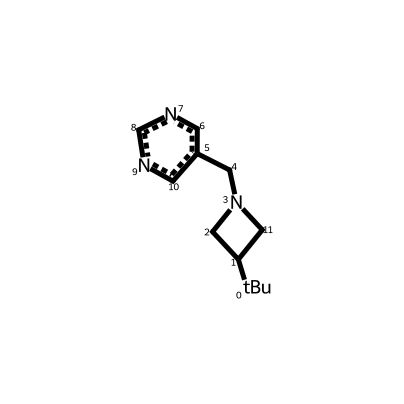 CC(C)(C)C1CN(Cc2cncnc2)C1